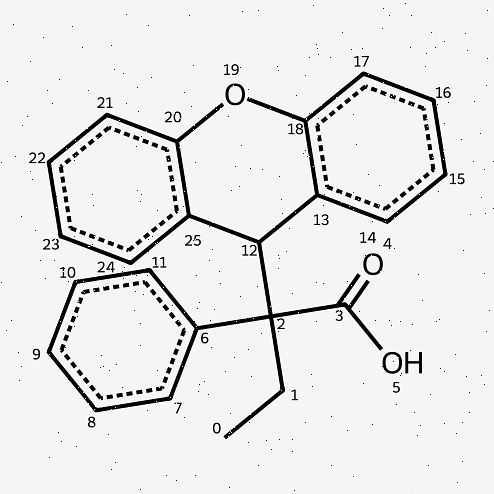 CCC(C(=O)O)(c1ccccc1)C1c2ccccc2Oc2ccccc21